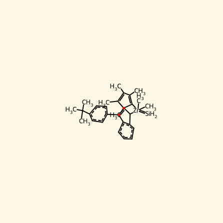 CC1=C(C)C(C)[C]([Zr]([CH3])([CH3])(=[SiH2])[CH]2C=C(c3ccc(C(C)(C)C)cc3)c3ccccc32)=C1C